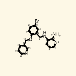 Nc1ncccc1NCc1cc(Br)ccc1OCc1cccnc1